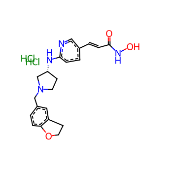 Cl.Cl.O=C(C=Cc1ccc(N[C@@H]2CCN(Cc3ccc4c(c3)CCO4)C2)nc1)NO